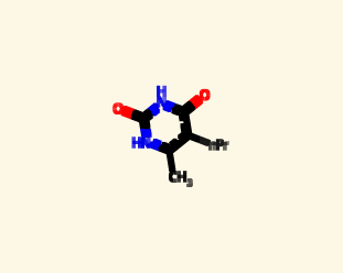 CCCc1c(C)[nH]c(=O)[nH]c1=O